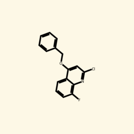 Fc1cccc2c(OCc3ccccc3)cc(Cl)nc12